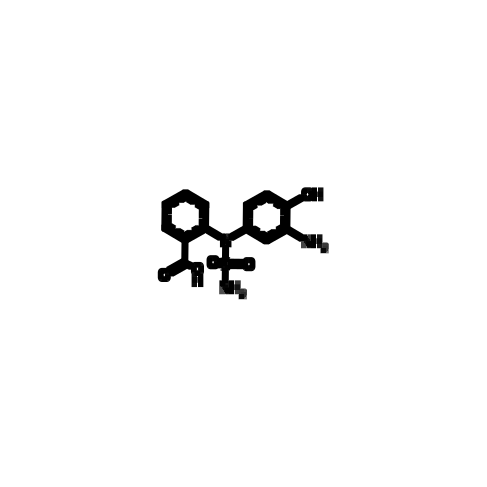 Nc1cc(N(c2ccccc2C(=O)O)S(N)(=O)=O)ccc1O